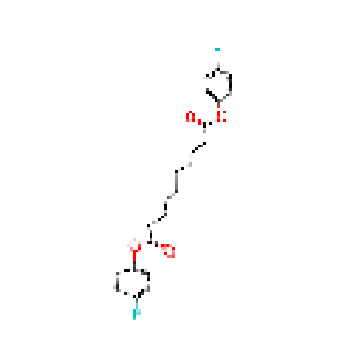 O=C(CCCCCCCCC(=O)Oc1ccc(F)cc1)Oc1ccc(F)cc1